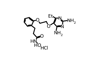 CCc1nc(N)nc(N)c1OCCOc1ccccc1CCC(=O)NO.Cl